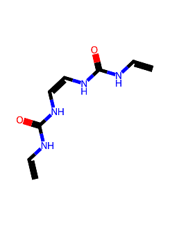 C=CNC(=O)N/C=C\NC(=O)NC=C